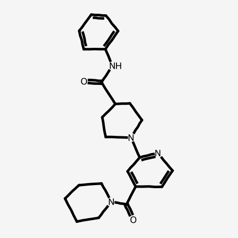 O=C(Nc1ccccc1)C1CCN(c2cc(C(=O)N3CCCCC3)ccn2)CC1